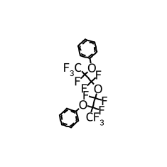 FC(F)(F)C(F)(Oc1ccccc1)C(F)(F)OC(F)(F)C(F)(Oc1ccccc1)C(F)(F)F